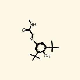 CNC(=O)CSc1cc(C(C)(C)C)c(O)c(C(C)(C)C)c1